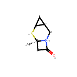 O=C1C[C@H]2SC3CC3CN12